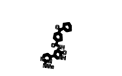 CNc1nccc(-c2c[nH]c(=O)c(NC(=O)c3ccc(C(=O)c4ccccc4)cc3)c2)n1